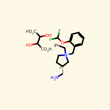 CC(C)C[N+]1(Cc2ccccc2OC(F)F)CC[C@@H](CN)C1.O=C(O)C(O)C(O)C(=O)O